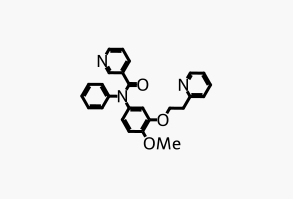 COc1ccc(N(C(=O)c2cccnc2)c2ccccc2)cc1OCCc1ccccn1